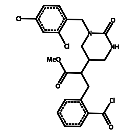 COC(=O)C(Cc1ccccc1C(=O)Cl)C1CNC(=O)N(Cc2ccc(Cl)cc2Cl)C1